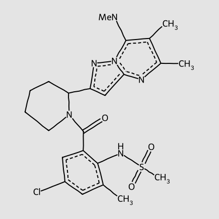 CNc1c(C)c(C)nc2cc(C3CCCCN3C(=O)c3cc(Cl)cc(C)c3NS(C)(=O)=O)nn12